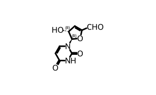 O=CC1=C[C@@H](O)[C@H](n2ccc(=O)[nH]c2=O)O1